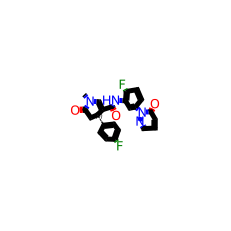 CN1C=C(C(=O)Nc2cc(-n3ncccc3=O)ccc2F)[C@H](c2ccc(F)cc2)CC1=O